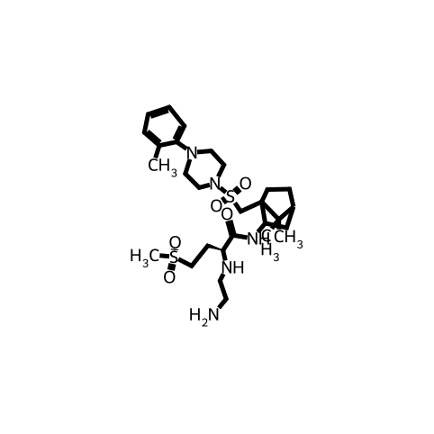 Cc1ccccc1N1CCN(S(=O)(=O)CC23CCC(CC2NC(=O)[C@H](CCS(C)(=O)=O)NCCN)C3(C)C)CC1